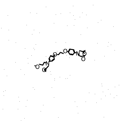 COCCCN(CC1CO1)c1ccc(OCCCOc2ccc(N(CC3CO3)CC3CO3)cc2)cc1